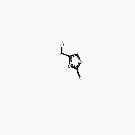 Fc1ncc(CCl)o1